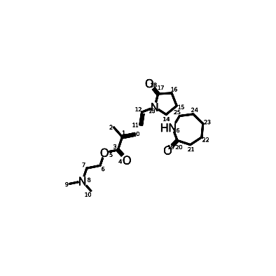 C=C(C)C(=O)OCCN(C)C.C=CN1CCCC1=O.O=C1CCCCCN1